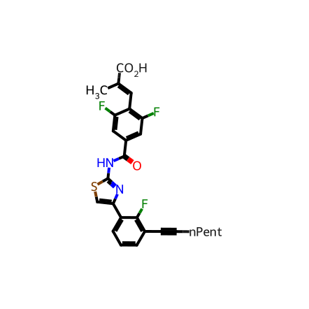 CCCCCC#Cc1cccc(-c2csc(NC(=O)c3cc(F)c(C=C(C)C(=O)O)c(F)c3)n2)c1F